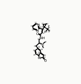 CN(C)C(CNC(=O)C=C(c1ncccn1)C1(C(F)(F)F)CC1)Cc1ccc2c(c1)=CC(=O)N=2